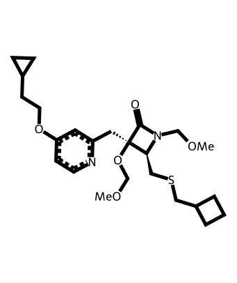 COCO[C@@]1(Cc2cc(OCCC3CC3)ccn2)C(=O)N(COC)[C@H]1CSCC1CCC1